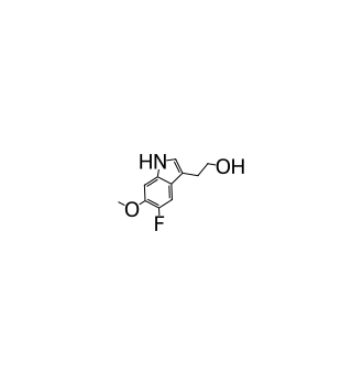 COc1cc2[nH]cc(CCO)c2cc1F